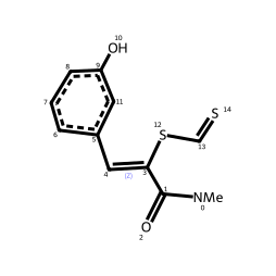 CNC(=O)/C(=C/c1cccc(O)c1)SC=S